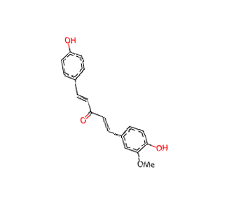 COc1cc(/C=C/C(=O)/C=C/c2ccc(O)cc2)ccc1O